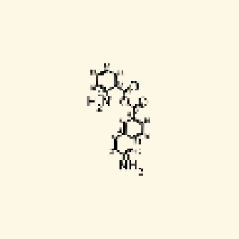 Nc1ccc2cc(C(=O)OC(=O)c3ccccc3N)ccc2c1